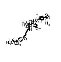 Cc1ncsc1-c1ccc([C@H](C)NC(=O)[C@@H]2C[C@@H](O)CN2C(=O)C(NC(=O)CCCCCCC(=O)N2CCN(C(=O)OC(C)(C)C)CC2)C(C)(C)C)cc1